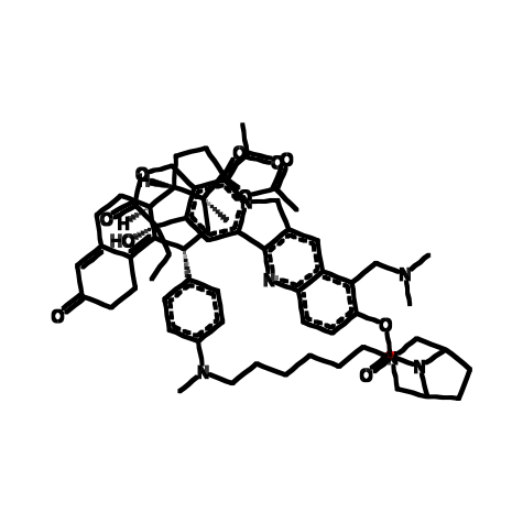 CC[C@@]1(O)C(=O)OCc2c1cc1n(c2=O)Cc2cc3c(CN(C)C)c(OC(=O)N4C5CCC4CN(CCCCCCN(C)c4ccc([C@H]6C[C@@]7(C)[C@@H](CC[C@]7(OC(C)=O)C(C)=O)[C@@H]7CCC8=CC(=O)CCC8=C76)cc4)C5)ccc3nc2-1